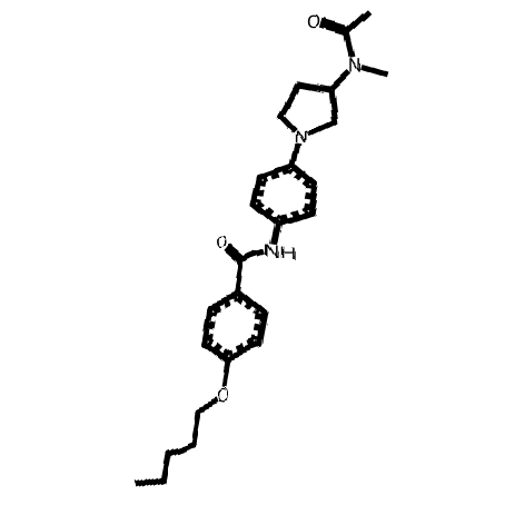 CCCCCOc1ccc(C(=O)Nc2ccc(N3CCC(N(C)C(C)=O)C3)cc2)cc1